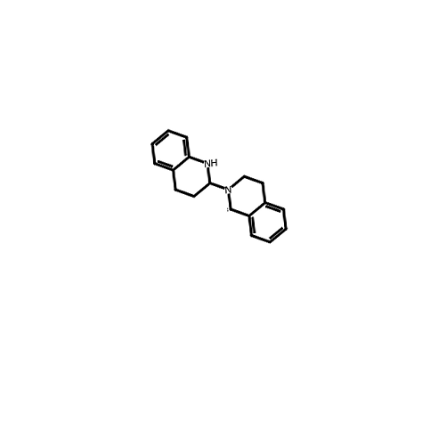 [C]1c2ccccc2CCN1C1CCc2ccccc2N1